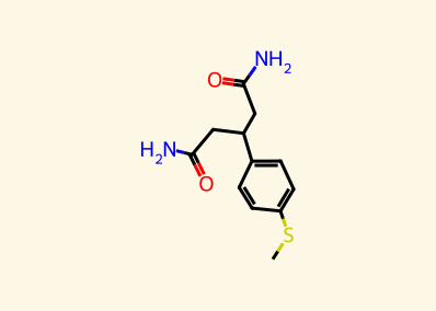 CSc1ccc(C(CC(N)=O)CC(N)=O)cc1